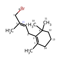 CC1=C(C/C=C(\C)CBr)C(C)(C)CCC1